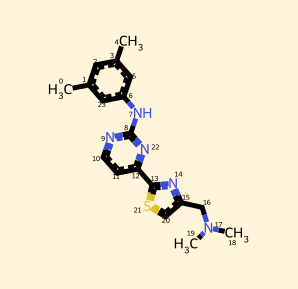 Cc1cc(C)cc(Nc2nccc(-c3nc(CN(C)C)cs3)n2)c1